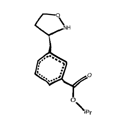 CC(C)OC(=O)c1cccc([C@H]2CCON2)c1